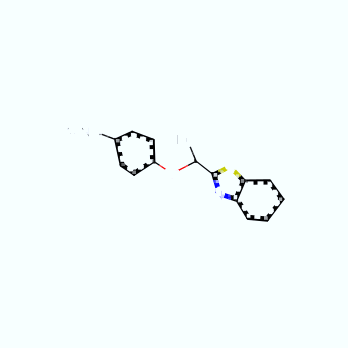 CCC(Oc1ccc(NC(C)=O)cc1)c1nc2ccccc2s1